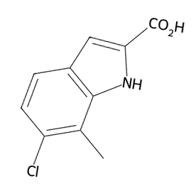 Cc1c(Cl)ccc2cc(C(=O)O)[nH]c12